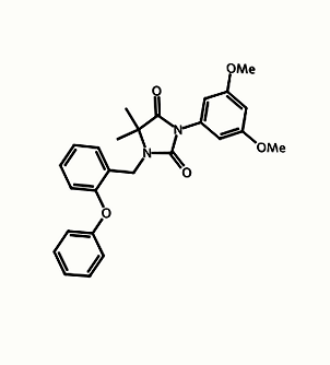 COc1cc(OC)cc(N2C(=O)N(Cc3ccccc3Oc3ccccc3)C(C)(C)C2=O)c1